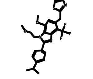 COCCn1c(-c2ccc(C(C)C)cc2)nc2c(C(F)(F)F)c(Cc3nccs3)cc(OC)c21